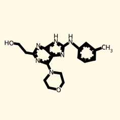 Cc1cccc(Nc2nc3c(N4CCOCC4)nc(CCO)nc3[nH]2)c1